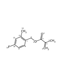 C=C(C)C(=O)OCc1ccc(F)cc1C